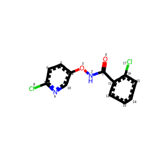 O=C(NOc1ccc(Cl)nc1)c1ccccc1Cl